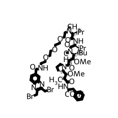 CC[C@H](C)[C@@H]([C@@H](CC(=O)N1CCC[C@H]1[C@H](OC)[C@@H](C)C(=O)N[C@@H](Cc1ccccc1)C(=O)O)OC)N(C)C(=O)[C@@H](NC(=O)[C@H](C(C)C)N(C)CCOCCOCCOCCNC(=O)c1ccc2nc(CBr)c(CBr)nc2c1)C(C)C